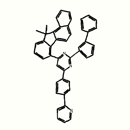 CC1(C)c2cccc(-c3cc(-c4ccc(-c5ccccn5)cc4)nc(-c4cccc(-c5ccccc5)c4)n3)c2-c2ccc3ccccc3c21